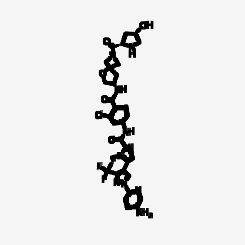 Cn1c(-c2cn(-c3ccc(N)cn3)nc2C(F)(F)F)cnc1C(=O)Nc1ccc(C(=O)N[C@@H]2COC3(C2)CN(C(=O)[C@@H]2C[C@@H](O)CN2)C3)c(Cl)c1